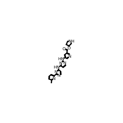 Cc1cccc(-c2nccc(Nc3ccnc(Nc4cncc(C(=O)O[C@@H]5CCNC5)c4)n3)n2)n1